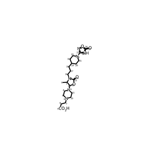 CC1C(N2CCN(CCC(=O)O)CC2)OC(=O)N1CCCC1CCN(c2noc(=O)[nH]2)CC1